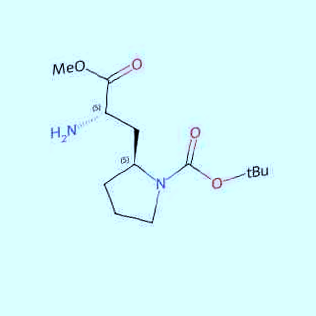 COC(=O)[C@@H](N)C[C@@H]1CCCN1C(=O)OC(C)(C)C